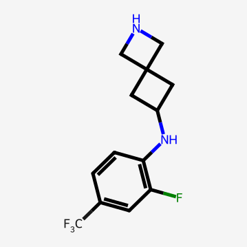 Fc1cc(C(F)(F)F)ccc1NC1CC2(CNC2)C1